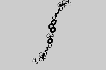 C=C(F)C(=O)OCCCCOc1ccc2c(ccc3cc(SC(=O)c4ccc(OCCCOC(=O)C(=C)F)cc4)ccc32)c1